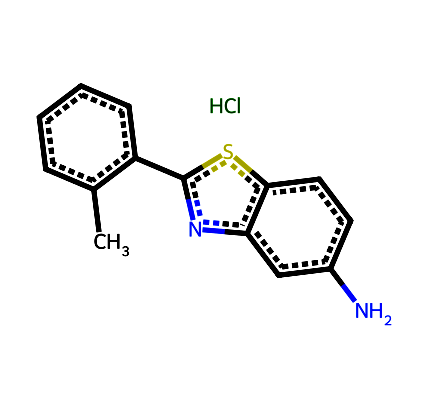 Cc1ccccc1-c1nc2cc(N)ccc2s1.Cl